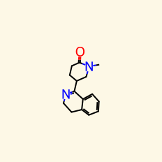 CN1CC(C2=NCCc3ccccc32)CCC1=O